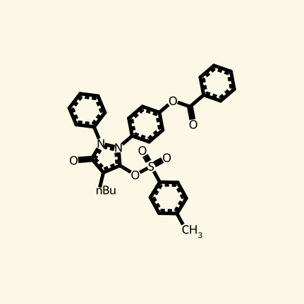 CCCCc1c(OS(=O)(=O)c2ccc(C)cc2)n(-c2ccc(OC(=O)c3ccccc3)cc2)n(-c2ccccc2)c1=O